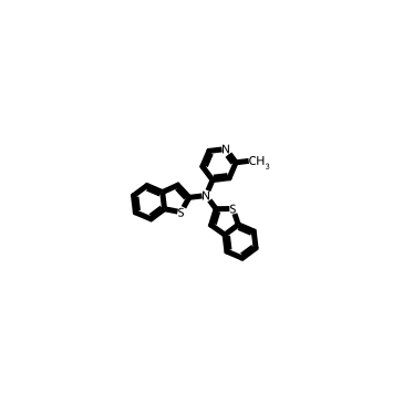 Cc1cc(N(c2cc3ccccc3s2)c2cc3ccccc3s2)ccn1